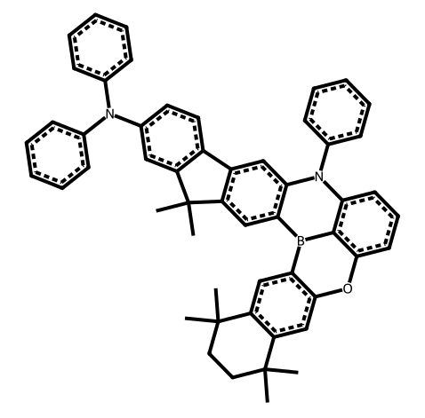 CC1(C)CCC(C)(C)c2cc3c(cc21)Oc1cccc2c1B3c1cc3c(cc1N2c1ccccc1)-c1ccc(N(c2ccccc2)c2ccccc2)cc1C3(C)C